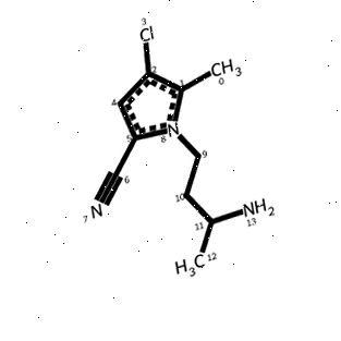 Cc1c(Cl)cc(C#N)n1CCC(C)N